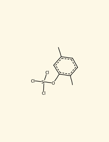 Cc1ccc(C)c(O[Si](Cl)(Cl)Cl)c1